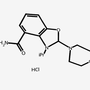 CC(C)N1c2c(cccc2C(N)=O)OC1N1CCOCC1.Cl